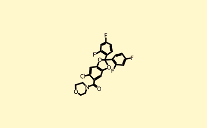 O=C(c1cc2c(cc1Cl)OC(c1ccc(F)cc1F)(c1ccc(F)cc1F)O2)N1CCOCC1